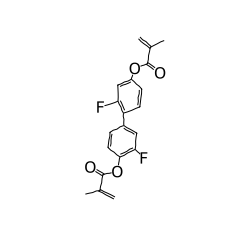 C=C(C)C(=O)Oc1ccc(-c2ccc(OC(=O)C(=C)C)c(F)c2)c(F)c1